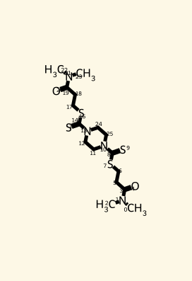 CN(C)C(=O)CCSC(=S)N1CCN(C(=S)SCCC(=O)N(C)C)CC1